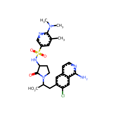 Cc1cc(S(=O)(=O)NC2CCN(C(Cc3cc4ccnc(N)c4cc3Cl)C(=O)O)C2=O)cnc1N(C)C